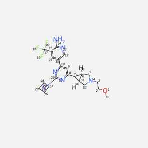 COCCN1C[C@@H]2C(c3cc(-c4cnc(N)c(C(F)(F)F)c4)nc(N4CC5CC4C5)n3)[C@@H]2C1